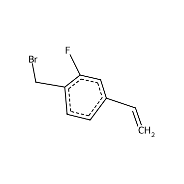 C=Cc1ccc(CBr)c(F)c1